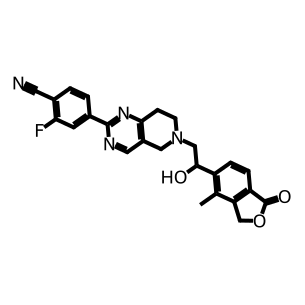 Cc1c(C(O)CN2CCc3nc(-c4ccc(C#N)c(F)c4)ncc3C2)ccc2c1COC2=O